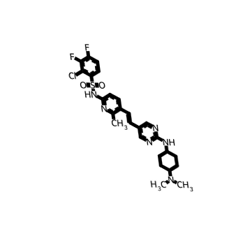 Cc1nc(NS(=O)(=O)c2ccc(F)c(F)c2Cl)ccc1/C=C/c1cnc(NC2CCC(N(C)C)CC2)nc1